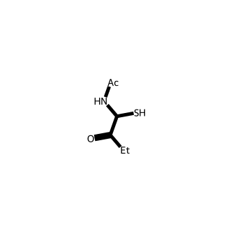 CCC(=O)C(S)NC(C)=O